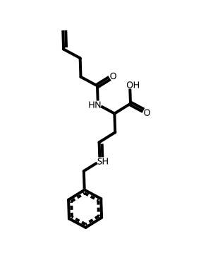 C=CCCC(=O)NC(CC=[SH]Cc1ccccc1)C(=O)O